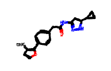 O=Cc1ccoc1-c1ccc(CC(=O)Nc2cc(C3CC3)[nH]n2)cc1